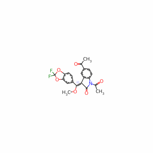 CO/C(=C1\C(=O)N(C(C)=O)c2ccc(C(C)=O)cc21)c1ccc2c(c1)OC(F)(F)O2